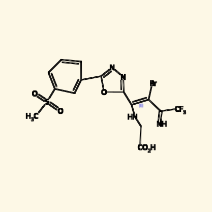 CS(=O)(=O)c1cccc(-c2nnc(/C(NCC(=O)O)=C(\Br)C(=N)C(F)(F)F)o2)c1